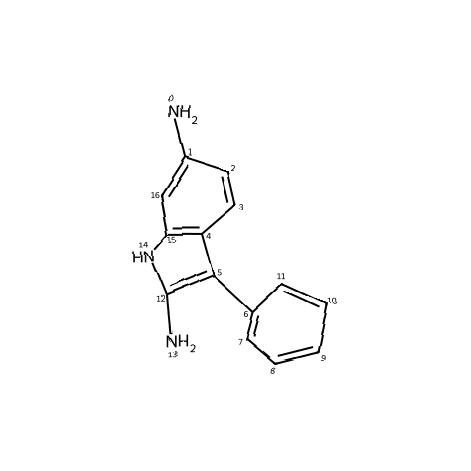 Nc1ccc2c(-c3ccccc3)c(N)[nH]c2c1